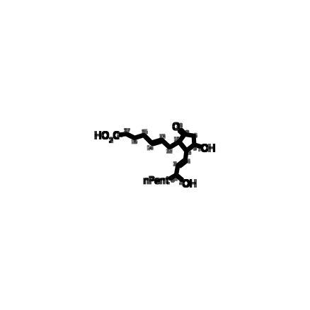 CCCCCC(O)C=CC1C(O)CC(=O)C1CC=CCCCC(=O)O